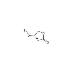 CCOC1=CC(=O)OC1